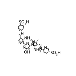 Cc1nn(-c2nc(O)nc(-n3nc(C)c(N=Nc4ccc(S(=O)(=O)O)cn4)c3N)n2)c(N)c1N=Nc1ccc(S(=O)(=O)O)cn1